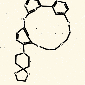 c1cc2cc(c1)-c1ccnc(n1)Nc1ccc(N3CCC4(CC3)OCCO4)c(c1)OCCOCCO2